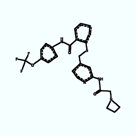 O=C(CN1CCC1)Nc1cc(CSc2ncccc2C(=O)Nc2ccc(OC(F)(F)F)cc2)ccn1